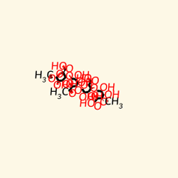 CO[C@@H]1O[C@@H](C(=O)O)[C@@H](O[C@@H]2OC(C(C)=O)[C@@H](O[C@@H]3OC(C(=O)O)[C@@H](O[C@@H]4OC(C(=O)O)[C@@H](OC)[C@@H](O)C4O)C(O)C3O)[C@H](O)C2O)C(O)C1O